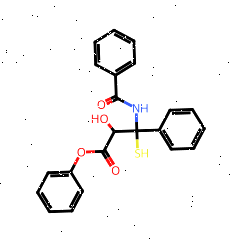 O=C(NC(S)(c1ccccc1)C(O)C(=O)Oc1ccccc1)c1ccccc1